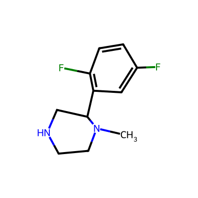 CN1CCNCC1c1cc(F)ccc1F